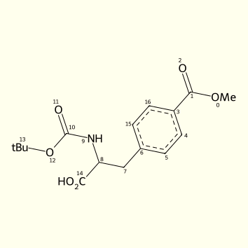 COC(=O)c1ccc(CC(NC(=O)OC(C)(C)C)C(=O)O)cc1